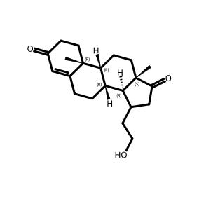 C[C@]12CCC(=O)C=C1CC[C@@H]1[C@H]2CC[C@]2(C)C(=O)CC(CCO)[C@@H]12